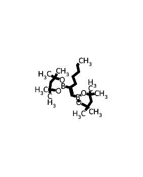 CCCCCC(=CB1OC(C)(C)CC(C)(C)O1)B1OC(C)(C)CC(C)(C)O1